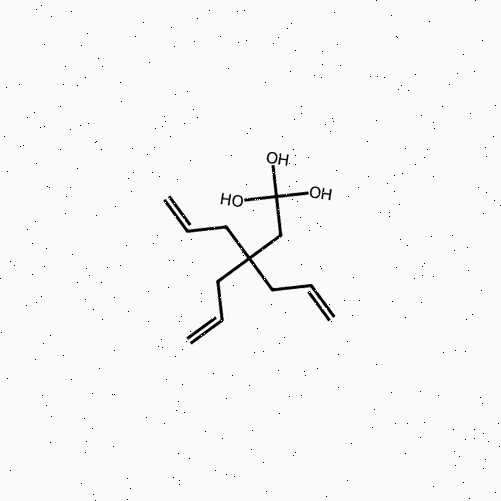 C=CCC(CC=C)(CC=C)CC(O)(O)O